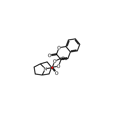 CC(C)(C)OC(=O)N1C2CCC1CC(Oc1cc3ccccc3oc1=O)C2